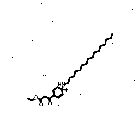 CCCCCCCCCCCCCCCCNC1(F)C=CC(C(=O)CC(=O)OCC)=CC1